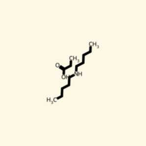 CCC(=O)O.CCCCCNCCCCC